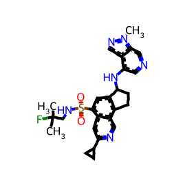 Cn1ncc2c(NC3CCc4c3cc(S(=O)(=O)NCC(C)(C)F)c3cc(C5CC5)ncc43)cncc21